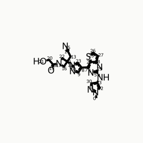 Cn1cc(Nc2nc(-c3cnn(C4(CC#N)CN(C(=O)CO)C4)c3)c3sccc3n2)cn1